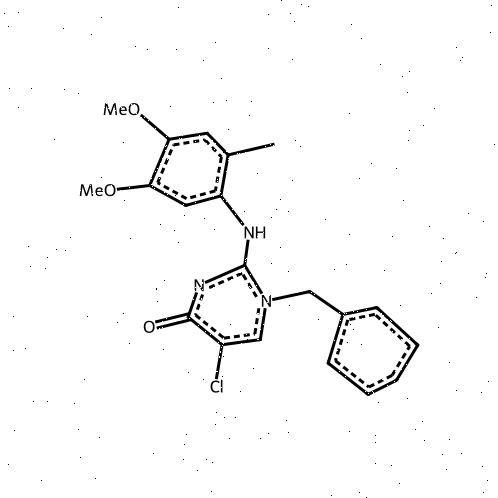 COc1cc(C)c(Nc2nc(=O)c(Cl)cn2Cc2ccccc2)cc1OC